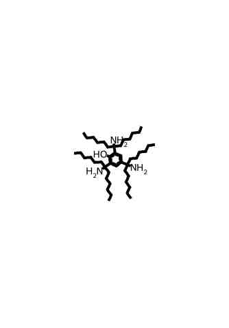 CCCCCCC(N)(CCCCCC)c1cc(C(N)(CCCCCC)CCCCCC)c(O)c(C(N)(CCCCCC)CCCCCC)c1